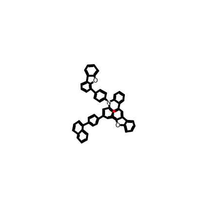 c1cc(-c2ccc(-c3cccc4ccccc34)cc2)cc(N(c2ccc(-c3cccc4c3oc3ccccc34)cc2)c2ccccc2-c2ccc3oc4ccccc4c3c2)c1